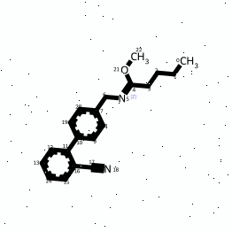 CCCC/C(=N/Cc1ccc(-c2ccccc2C#N)cc1)OC